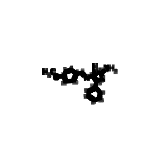 COc1ccc(C=Nc2[nH]c(N)nc2-c2ccccc2)cc1